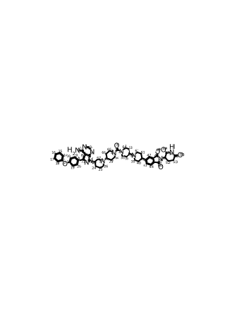 Nc1ncnc2c1c(-c1ccc(Oc3ccccc3)cc1)nn2[C@@H]1CCCN(C2CCN(C(=O)N3CCC(N4CCC(c5ccc6c(c5)C(=O)N(C5CCC(=O)NC5=O)C6=O)CC4)CC3)CC2)C1